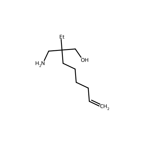 C=CCCCCC(CC)(CN)CO